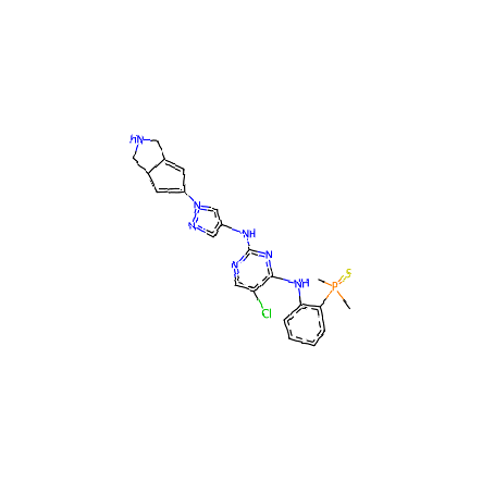 CP(C)(=S)c1ccccc1Nc1nc(Nc2cnn(C3=CC4CNCC4=C3)c2)ncc1Cl